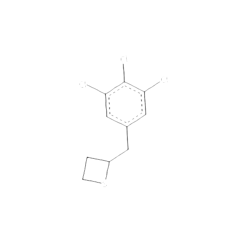 Clc1cc([CH]C2CCS2)cc(Cl)c1Cl